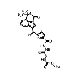 CC(C)(C)OC(=O)NCC(=O)NNC(=O)c1csc(C(=O)c2cn3c4c(cccc24)C(C)(C)OC3=O)n1